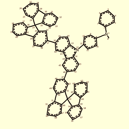 CN(c1ccccc1)c1ccc(-n2c3ccc(-c4ccc5c(c4)C4(c6ccccc6-c6ccccc64)c4ccccc4-5)cc3c3cc(-c4ccc5c(c4)C4(c6ccccc6-c6ccccc64)c4ccccc4-5)ccc32)cc1